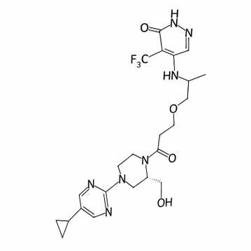 CC(COCCC(=O)N1CCN(c2ncc(C3CC3)cn2)C[C@H]1CO)Nc1cn[nH]c(=O)c1C(F)(F)F